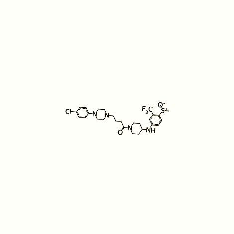 C[S+]([O-])c1ccc(NC2CCN(C(=O)CCCN3CCN(c4ccc(Cl)cc4)CC3)CC2)cc1C(F)(F)F